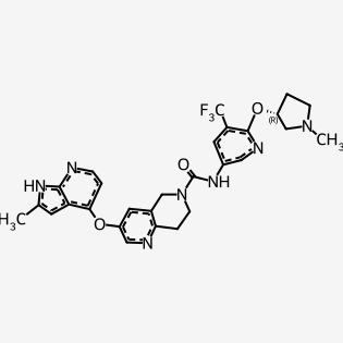 Cc1cc2c(Oc3cnc4c(c3)CN(C(=O)Nc3cnc(O[C@@H]5CCN(C)C5)c(C(F)(F)F)c3)CC4)ccnc2[nH]1